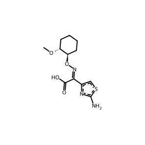 CO[C@@H]1CCCC[C@H]1O/N=C(\C(=O)O)c1csc(N)n1